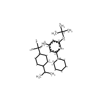 CC(C)C1CCC(C(F)(F)F)CC1[C@H]1CCCCN1c1cc(O)cc(OC(C)(C)C)n1